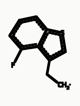 [CH2]Cc1csc2cccc(F)c12